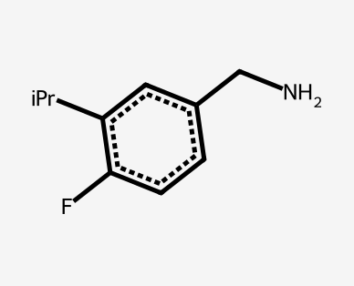 CC(C)c1cc(CN)ccc1F